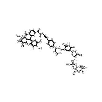 COc1cc2c(-c3cc(C(=O)NCC#Cc4ccc(C(CC(C)C)OCc5cn([C@H]6C[C@@H](O)[C@@H](COP(=O)(O)OP(=O)(O)OP(=O)(O)O)O6)c(=O)[nH]c5=O)cc4)ccc3C(=O)O)c3cc(OC)c(=O)c(Cl)c-3oc2c(Cl)c1O